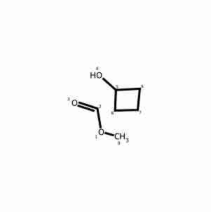 COC=O.OC1CCC1